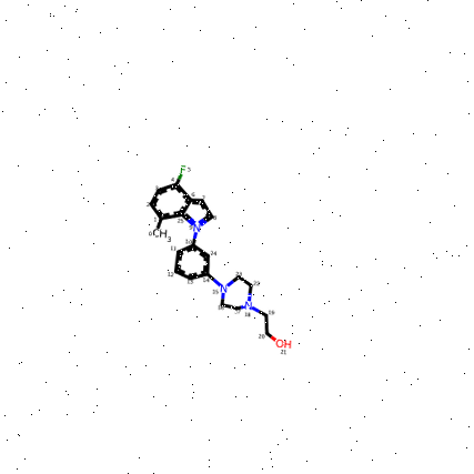 Cc1ccc(F)c2ccn(-c3cccc(N4CCN(CCO)CC4)c3)c12